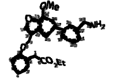 CCOC(=O)Cc1ccccc1OCc1coc2c(OC)cc(-c3cccc(CN)c3)cc12